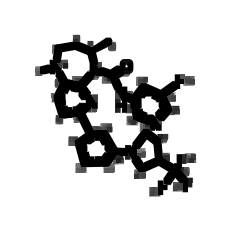 C[C@@H]1CCN(C)c2ccc(-c3cccc(N4CCC(C(F)(F)F)C4)c3)nc2N1C(=O)Nc1cncc(F)c1